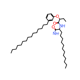 CCCCCCCCCCCCCCCc1cccc(OC(CC)C(=O)NC(CCCCCCCCCCCC)C([NH])=O)c1